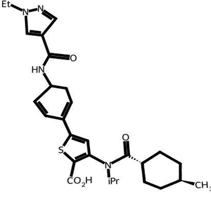 CCn1cc(C(=O)NC2C=CC(c3cc(N(C(=O)[C@H]4CC[C@H](C)CC4)C(C)C)c(C(=O)O)s3)=CC2)cn1